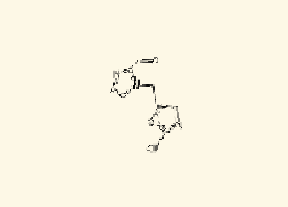 O=Cc1nccn1Cc1cnc(Cl)s1